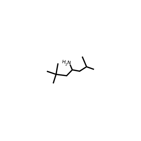 CC(C)CC(N)CC(C)(C)C